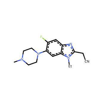 CCn1c(CC#N)nc2cc(F)c(N3CCN(C)CC3)cc21